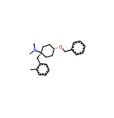 Cc1ccccc1C[C@]1(N(C)C)CC[C@@H](OCc2ccccc2)CC1